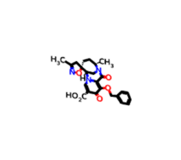 CC1=NO[C@@]2(CC[C@H](C)N3C[C@H]2n2cc(C(=O)O)c(=O)c(OCc4ccccc4)c2C3=O)C1